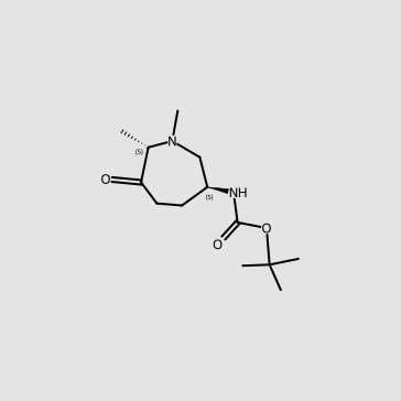 C[C@H]1C(=O)CC[C@H](NC(=O)OC(C)(C)C)CN1C